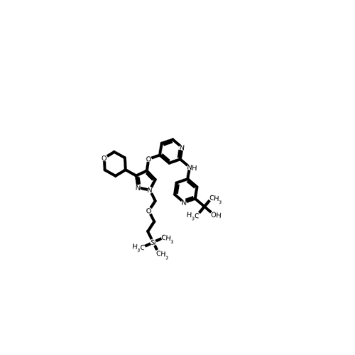 CC(C)(O)c1cc(Nc2cc(Oc3cn(COCC[Si](C)(C)C)nc3C3CCOCC3)ccn2)ccn1